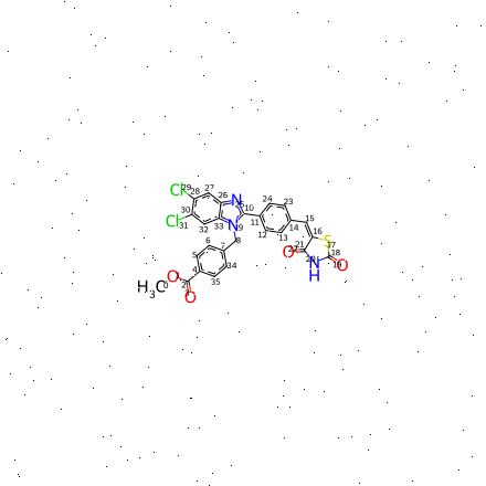 COC(=O)c1ccc(Cn2c(-c3ccc(C=C4SC(=O)NC4=O)cc3)nc3cc(Cl)c(Cl)cc32)cc1